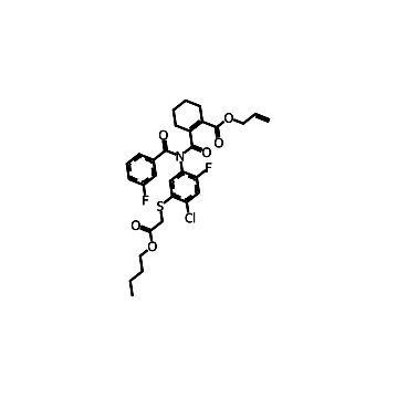 C=CCOC(=O)C1=C(C(=O)N(C(=O)c2cccc(F)c2)c2cc(SCC(=O)OCCCC)c(Cl)cc2F)CCCC1